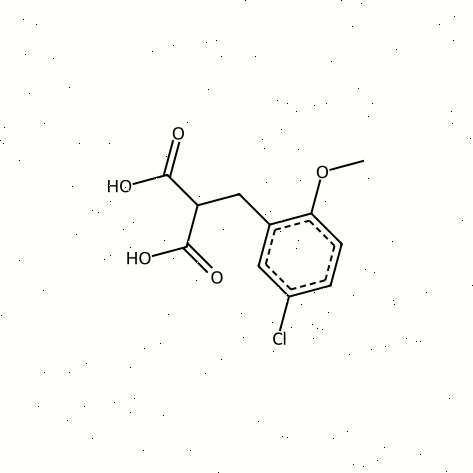 COc1ccc(Cl)cc1CC(C(=O)O)C(=O)O